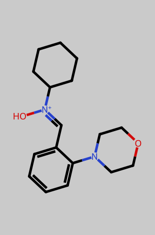 O/[N+](=C\c1ccccc1N1CCOCC1)C1CCCCC1